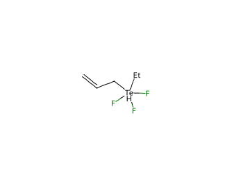 C=CC[TeH](F)(F)(F)CC